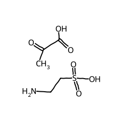 CC(=O)C(=O)O.NCCS(=O)(=O)O